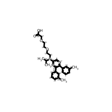 Cc1cccc(-c2ncc(N(CCOCCOCC(=O)O)C(C)C)nc2-c2cccc(C)c2)c1